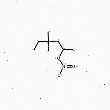 CCC(C)(C)CC(C)O[N+](=O)[O-]